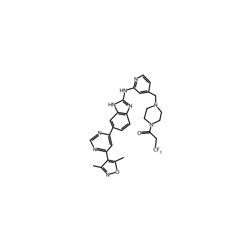 Cc1noc(C)c1-c1cc(-c2ccc3nc(Nc4cc(CN5CCN(C(=O)CC(F)(F)F)CC5)ccn4)[nH]c3c2)ncn1